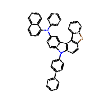 c1ccc(-c2ccc(-n3c4ccc(N(c5ccccc5)c5cccc6ccccc56)cc4c4c5c(ccc43)sc3ccccc35)cc2)cc1